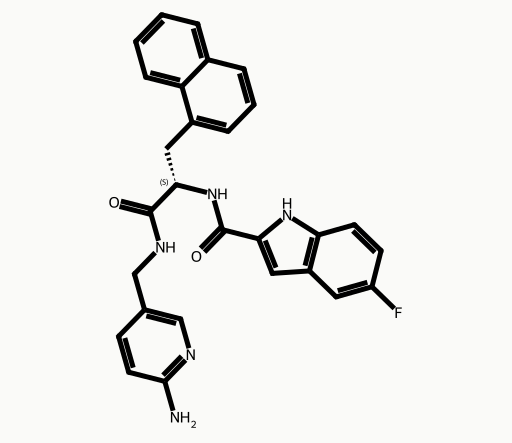 Nc1ccc(CNC(=O)[C@H](Cc2cccc3ccccc23)NC(=O)c2cc3cc(F)ccc3[nH]2)cn1